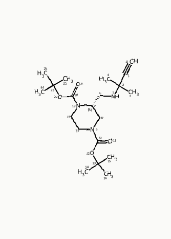 C#CC(C)(C)NC[C@@H]1CN(C(=O)OC(C)(C)C)CCN1C(=O)OC(C)(C)C